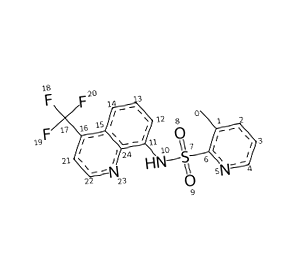 Cc1cccnc1S(=O)(=O)Nc1cccc2c(C(F)(F)F)ccnc12